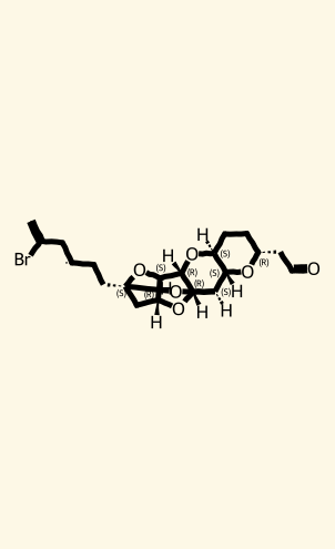 C=C(Br)C[CH]CC[C@@]12C[C@H]3O[C@H]4[C@@H](O1)[C@H]1O[C@@H](CC=O)CC[C@@H]1O[C@H]4[C@H]3O2